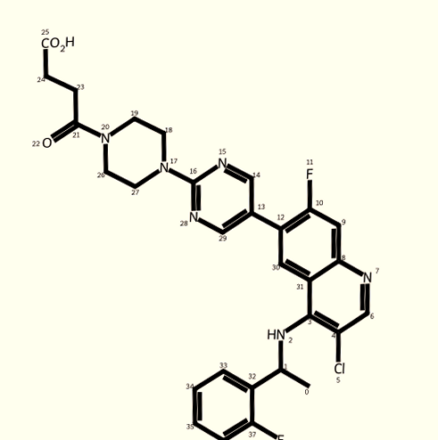 CC(Nc1c(Cl)cnc2cc(F)c(-c3cnc(N4CCN(C(=O)CCC(=O)O)CC4)nc3)cc12)c1ccccc1F